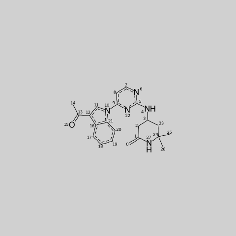 C=C1CC(Nc2nccc(-n3cc(C(C)=O)c4ccccc43)n2)CC(C)(C)N1